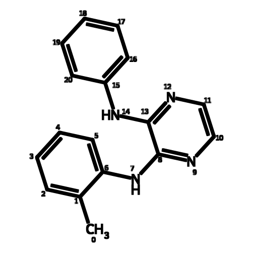 Cc1ccccc1Nc1nccnc1Nc1ccccc1